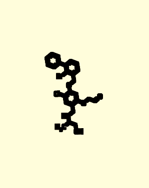 CC(CO)NCc1cc(Cl)c(OCc2cccc(-c3ccccc3)c2Br)cc1OCC=O